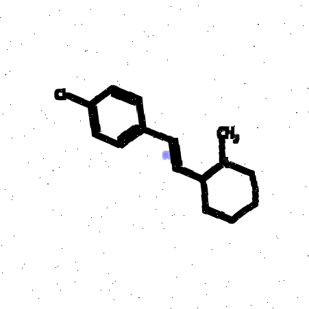 CN1CCCCC1/C=C/c1ccc(Cl)cc1